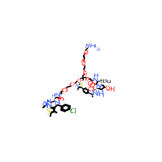 Cc1ncsc1-c1ccc([C@H](C)NC(=O)[C@@H]2C[C@@H](O)CN2C(=O)[C@@H](NC(=O)COCC(C)(COCCOCCOCCN)COCCOCCOCCNC(=O)C[C@@H]2N=C(c3ccc(Cl)cc3)c3c(sc(C)c3C)-n3c(C)nnc32)C(C)(C)C)cc1